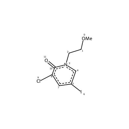 COCCn1cc(I)cc(Cl)c1=O